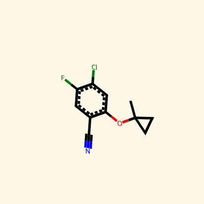 CC1(Oc2cc(Cl)c(F)cc2C#N)CC1